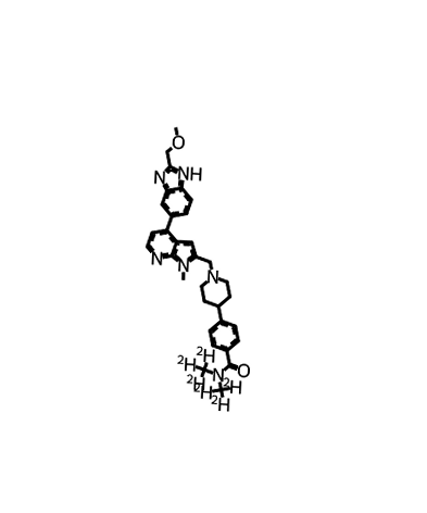 [2H]C([2H])([2H])N(C(=O)c1ccc(C2CCN(Cc3cc4c(-c5ccc6[nH]c(COC)nc6c5)ccnc4n3C)CC2)cc1)C([2H])([2H])[2H]